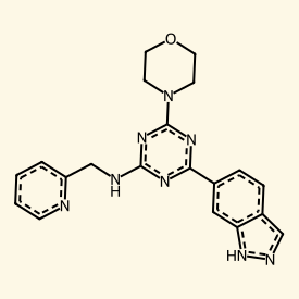 c1ccc(CNc2nc(-c3ccc4cn[nH]c4c3)nc(N3CCOCC3)n2)nc1